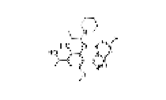 CCC(Oc1c(O)c(C(C)O)cc(OC)c1-c1noc2cc(F)ccc12)N1CCCCC1